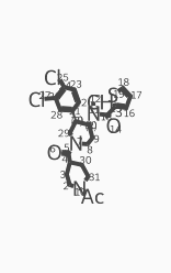 CC(=O)N1CCC(C(=O)N2CC[C@@H](N(C)C(=O)c3cccs3)[C@H](c3ccc(Cl)c(Cl)c3)C2)CC1